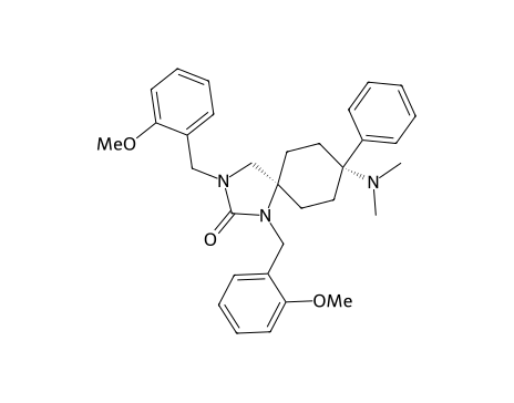 COc1ccccc1CN1C[C@]2(CC[C@@](c3ccccc3)(N(C)C)CC2)N(Cc2ccccc2OC)C1=O